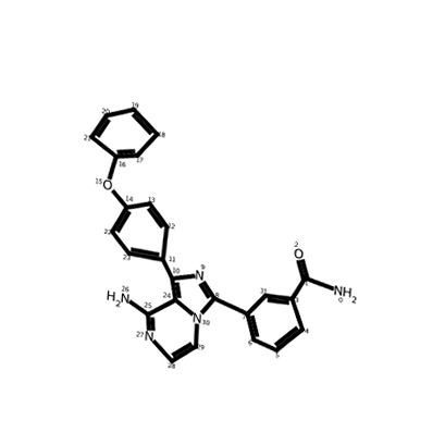 NC(=O)c1cccc(-c2nc(-c3ccc(Oc4ccccc4)cc3)c3c(N)nccn23)c1